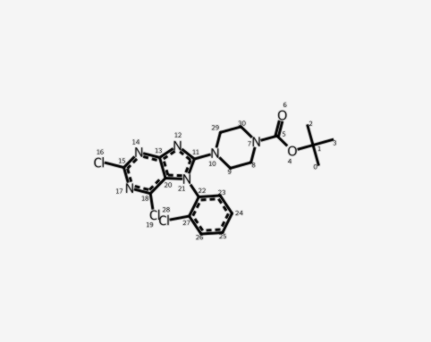 CC(C)(C)OC(=O)N1CCN(c2nc3nc(Cl)nc(Cl)c3n2-c2ccccc2Cl)CC1